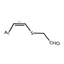 CC(=O)/C=C\SCC=O